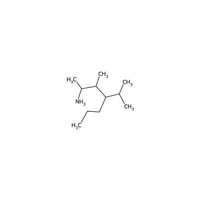 CCCC(C(C)C)C(C)C(C)N